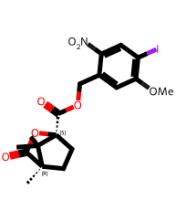 COc1cc(COC(=O)[C@@]23CC[C@@](C)(C(=O)O2)C3(C)C)c([N+](=O)[O-])cc1I